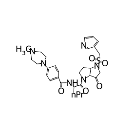 CCCC(NC(=O)c1ccc(N2CCN(C)CC2)cc1)C(=O)N1CCC2C1C(=O)CN2S(=O)(=O)Cc1cccnc1